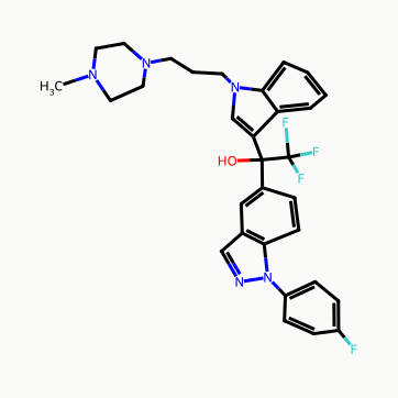 CN1CCN(CCCn2cc(C(O)(c3ccc4c(cnn4-c4ccc(F)cc4)c3)C(F)(F)F)c3ccccc32)CC1